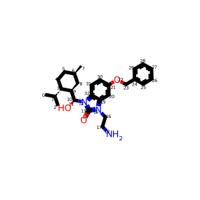 CC(C)[C@@H]1CC[C@@H](C)C[C@H]1[C@H](O)n1c(=O)n(CCN)c2cc(OCc3ccccc3)ccc21